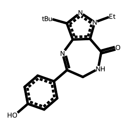 CCn1nc(C(C)(C)C)c2c1C(=O)NCC(c1ccc(O)cc1)=N2